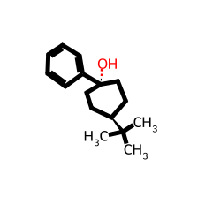 CC(C)(C)[C@H]1CC[C@@](O)(c2ccccc2)CC1